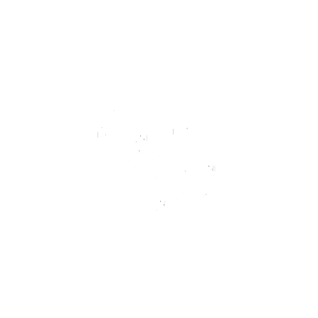 CCC(CO)NC(=O)C=Cc1cc(N)ccc1N.Cl